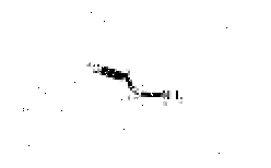 NSC=O